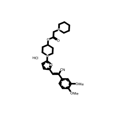 COc1ccc(/C(C#N)=C/c2ccc(N3CCC(OC(=O)CN4CCCCC4)CC3)s2)cc1OC.Cl